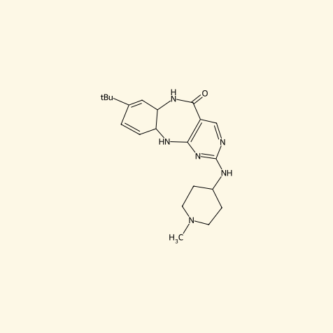 CN1CCC(Nc2ncc3c(n2)NC2C=CC(C(C)(C)C)=CC2NC3=O)CC1